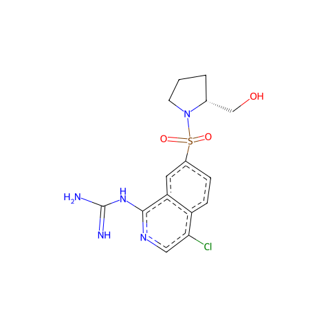 N=C(N)Nc1ncc(Cl)c2ccc(S(=O)(=O)N3CCC[C@@H]3CO)cc12